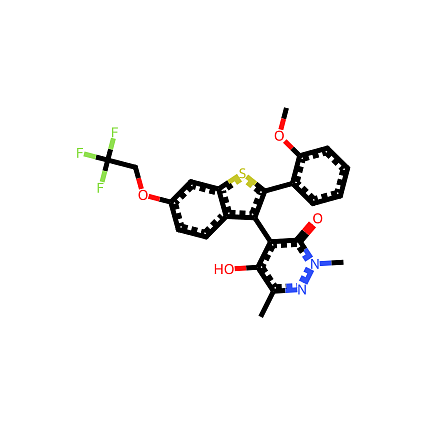 COc1ccccc1-c1sc2cc(OCC(F)(F)F)ccc2c1-c1c(O)c(C)nn(C)c1=O